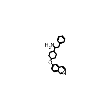 NC(Cc1ccccc1)C1CCC(Oc2ccc3cnccc3c2)CC1